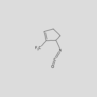 O=C=NC1CCC=C1C(F)(F)F